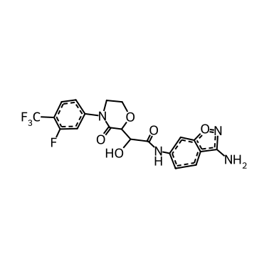 Nc1noc2cc(NC(=O)C(O)C3OCCN(c4ccc(C(F)(F)F)c(F)c4)C3=O)ccc12